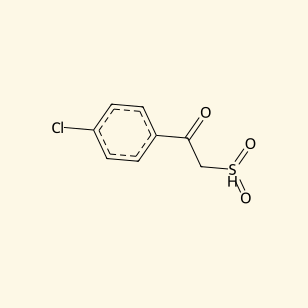 O=C(C[SH](=O)=O)c1ccc(Cl)cc1